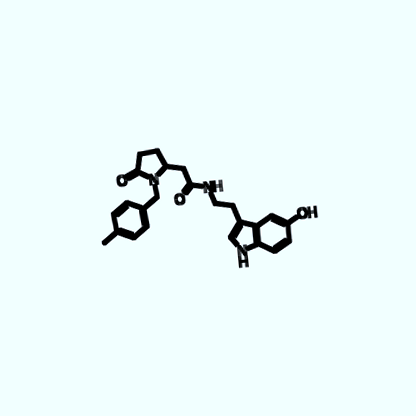 Cc1ccc(CN2C(=O)CCC2CC(=O)NCCc2c[nH]c3ccc(O)cc23)cc1